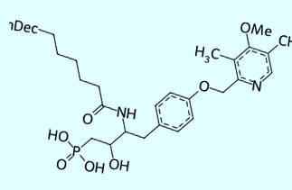 CCCCCCCCCCCCCCCC(=O)NC(Cc1ccc(OCc2ncc(C)c(OC)c2C)cc1)C(O)CP(=O)(O)O